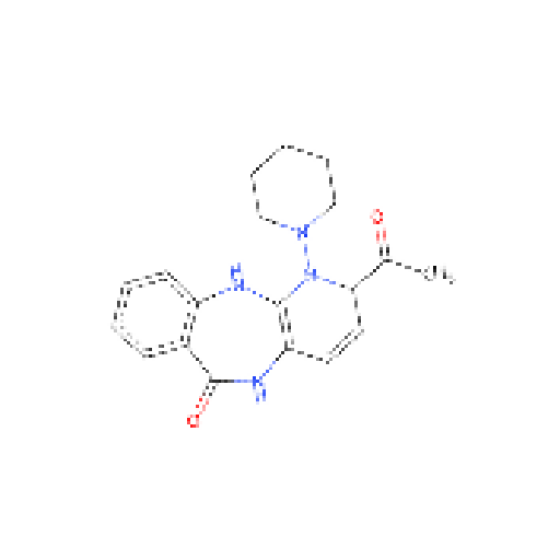 CC(=O)C1C=CC2=C(Nc3ccccc3C(=O)N2)N1N1CCCCC1